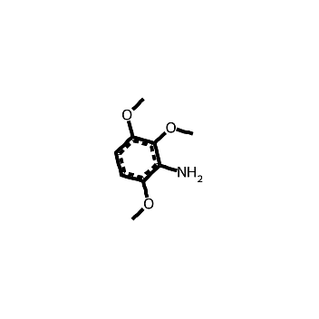 COc1ccc(OC)c(OC)c1N